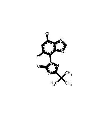 CC(C)(C)c1nn(-c2c(F)cc(Cl)c3ncoc23)c(=O)o1